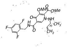 C=C[C@@H](C)Nn1cc(C(=O)NCc2c(F)cc(F)cc2F)c(=O)c(OC)c1C(=O)OC